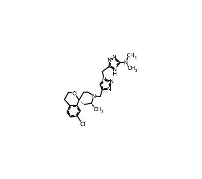 C[C@H]1C[C@@]2(CCN1Cc1cn(Cc3nnc(N(C)C)[nH]3)nn1)OCCc1ccc(Cl)cc12